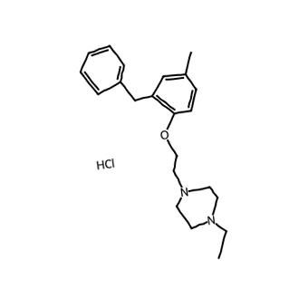 CCN1CCN(CCOc2ccc(C)cc2Cc2ccccc2)CC1.Cl